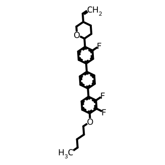 C=CC1CCC(c2ccc(-c3ccc(-c4ccc(OCCCCC)c(F)c4F)cc3)cc2F)OC1